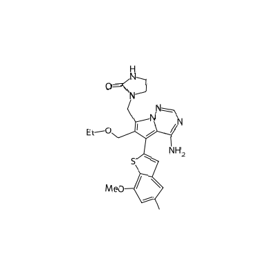 CCOCc1c(-c2cc3cc(C)cc(OC)c3s2)c2c(N)ncnn2c1CN1CCNC1=O